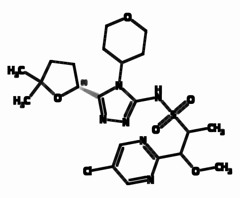 COC(c1ncc(Cl)cn1)C(C)S(=O)(=O)Nc1nnc([C@H]2CCC(C)(C)O2)n1C1CCOCC1